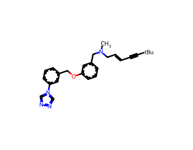 CN(C/C=C/C#CC(C)(C)C)Cc1cccc(OCc2cccc(-n3cnnc3)c2)c1